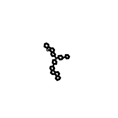 c1ccc(-c2ccc(N(c3ccc(-c4ccc5ccc6c7ccccc7ccc6c5c4)cc3)c3ccc4c(ccc5c6ccccc6oc45)c3)cc2)cc1